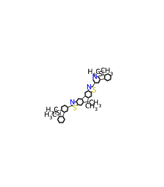 CC1(C)c2cc3sc(-c4ccc5c(c4)-c4ccccc4[Si]5(C)C)nc3cc2-c2cc3nc(-c4cnc5c(c4)-c4ccccc4[Si]5(C)C)sc3cc21